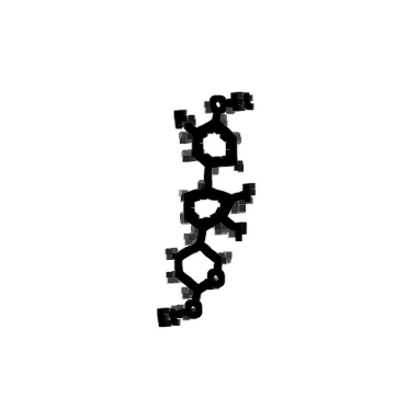 CCOc1ccc(-c2ccc(C3CCC(OCC)OC3)c(F)c2F)cc1F